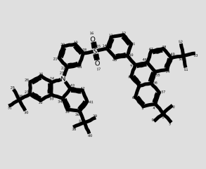 CC(C)(C)c1ccc2cc(-c3cccc(S(=O)(=O)c4cccc(-n5c6ccc(C(C)(C)C)cc6c6cc(C(C)(C)C)ccc65)c4)c3)c3ccc(C(C)(C)C)cc3c2c1